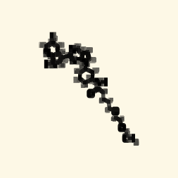 CCOCCOCCCCC(=O)N[C@H]1CCCC(n2ccc3cnc(-c4c[nH]c5ncc(F)cc45)nc32)C1